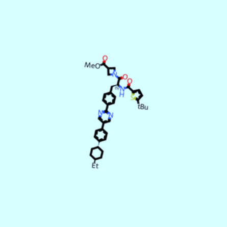 CC[C@H]1CC[C@H](c2ccc(-c3cnc(-c4ccc(C[C@H](NC(=O)c5ccc(C(C)(C)C)s5)C(=O)N5CC(C(=O)OC)C5)cc4)nc3)cc2)CC1